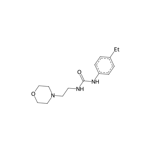 CCc1ccc(NC(=O)NCCN2CCOCC2)cc1